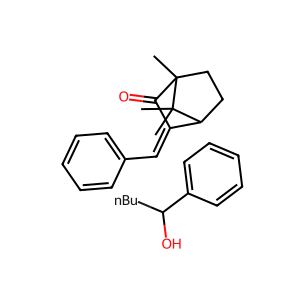 CC12CCC(C(=Cc3ccccc3)C1=O)C2(C)C.CCCCC(O)c1ccccc1